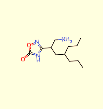 CCCC(CCC)CC(CN)c1noc(=O)[nH]1